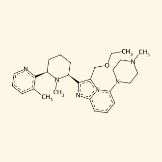 CCOCc1c([C@@H]2CCC[C@H](c3ncccc3C)N2C)nc2cccc(N3CCN(C)CC3)n12